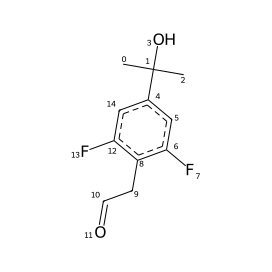 CC(C)(O)c1cc(F)c(CC=O)c(F)c1